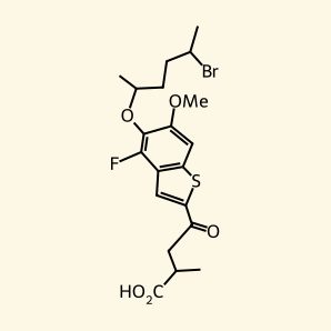 COc1cc2sc(C(=O)CC(C)C(=O)O)cc2c(F)c1OC(C)CCC(C)Br